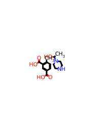 CC(O)N1CCNCC1.Cc1ccc(C(=O)O)cc1C(=O)O